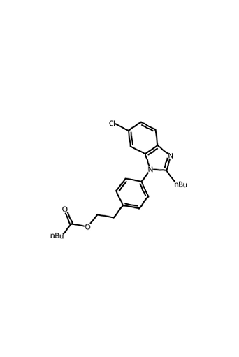 CCCCC(=O)OCCc1ccc(-n2c(CCCC)nc3ccc(Cl)cc32)cc1